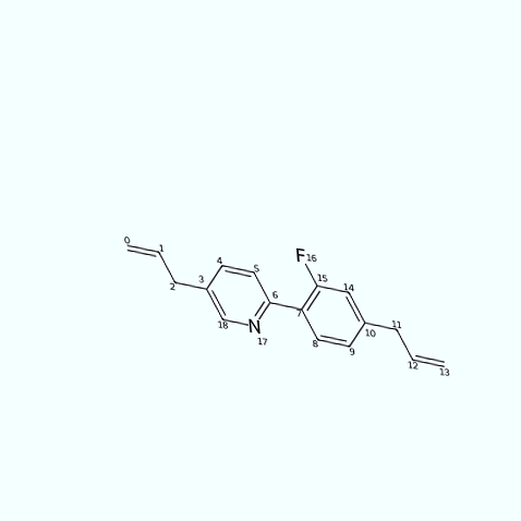 C=CCc1ccc(-c2ccc(CC=C)cc2F)nc1